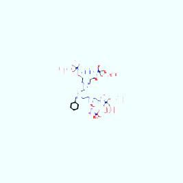 O=C(CCN(CCC(=O)NC(CO)(CO)CO)CCN(CCN(CCN(CO)C(CO)(CO)CO)CCN(CO)C(CO)(CO)CO)Cc1ccccc1)NC(CO)(CO)CO